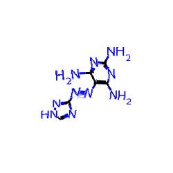 Nc1nc(N)c(/N=N/c2nc[nH]n2)c(N)n1